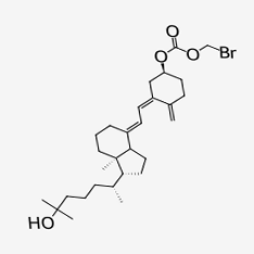 C=C1CC[C@H](OC(=O)OCBr)C/C1=C/C=C1\CCC[C@@]2(C)C1CC[C@@H]2[C@H](C)CCCC(C)(C)O